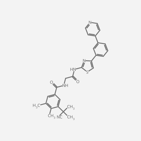 Cc1cc(C(=O)NCC(=O)Nc2nc(-c3cccc(-c4ccncc4)c3)cs2)cc(C(C)(C)C#N)c1C